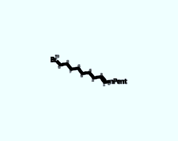 CCCCCC=CCCCCCCCBr